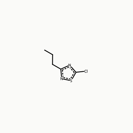 CCCc1nsc(Cl)n1